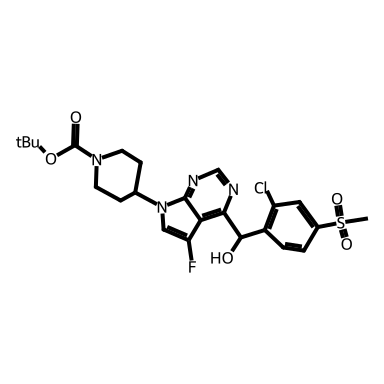 CC(C)(C)OC(=O)N1CCC(n2cc(F)c3c(C(O)c4ccc(S(C)(=O)=O)cc4Cl)ncnc32)CC1